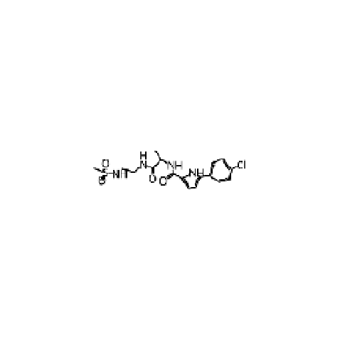 CC(NC(=O)c1ccc(-c2ccc(Cl)cc2)[nH]1)C(=O)NCCNS(C)(=O)=O